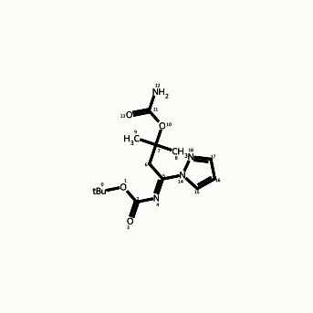 CC(C)(C)OC(=O)N=C(CC(C)(C)OC(N)=O)n1cccn1